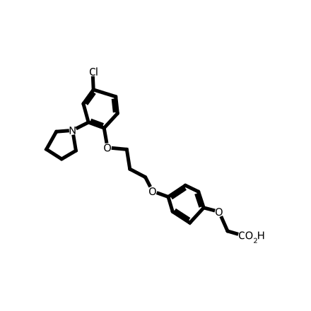 O=C(O)COc1ccc(OCCCOc2ccc(Cl)cc2N2CCCC2)cc1